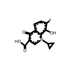 O=C(O)c1cn(C2CC2)c2c(O)c(F)ccc2c1=O